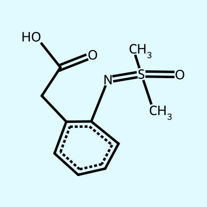 CS(C)(=O)=Nc1ccccc1CC(=O)O